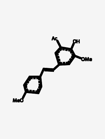 COc1ccc(C=Cc2cc(OC)c(O)c(C(C)=O)c2)cc1